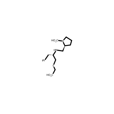 CC(C)C[C@@H](CSCC(=O)O)NC[C@@H]1CCCN1C(=O)O